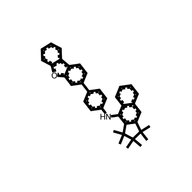 CC1(C)c2cc3ccccc3c(Nc3ccc(-c4ccc5c(c4)oc4ccccc45)cc3)c2C(C)(C)C1(C)C